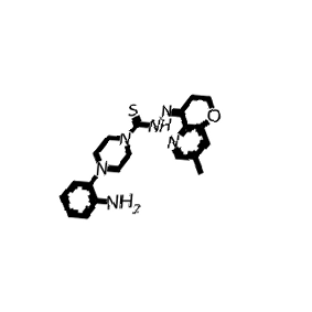 Cc1cnc2c(c1)OCC/C2=N/NC(=S)N1CCN(c2ccccc2N)CC1